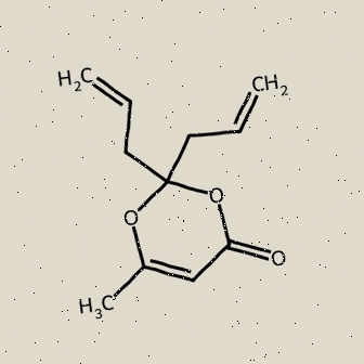 C=CCC1(CC=C)OC(=O)C=C(C)O1